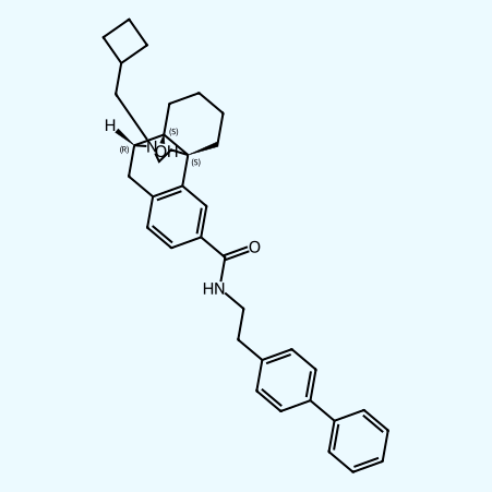 O=C(NCCc1ccc(-c2ccccc2)cc1)c1ccc2c(c1)[C@@]13CCCC[C@@]1(O)[C@@H](C2)N(CC1CCC1)CC3